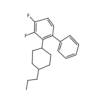 CCCC1CCC(c2c(-c3ccccc3)ccc(F)c2F)CC1